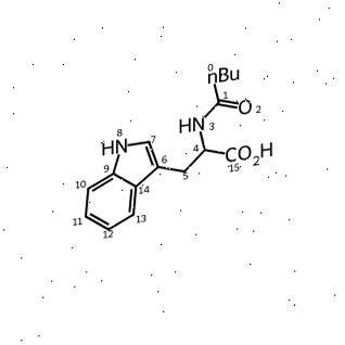 CCCCC(=O)NC(Cc1c[nH]c2ccccc12)C(=O)O